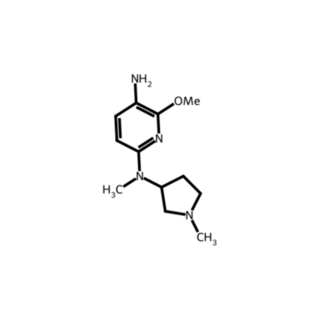 COc1nc(N(C)C2CCN(C)C2)ccc1N